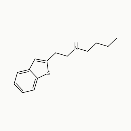 CCCCNCCc1cc2ccccc2s1